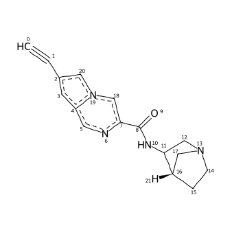 C#Cc1cc2cnc(C(=O)NC3CN4CC[C@H]3C4)cn2c1